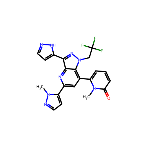 Cn1nccc1-c1cc(-c2cccc(=O)n2C)c2c(n1)c(-c1ccn[nH]1)nn2CC(F)(F)F